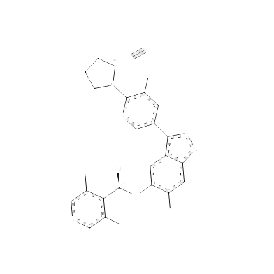 N#C[C@H]1CCCN1c1ncc(-c2n[nH]c3cc(F)c(O[C@H](N)c4c(Cl)cncc4Cl)cc23)cc1F